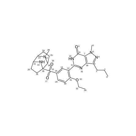 CCCc1nn(C)c2c(=O)[nH]c(-c3cc(S(=O)(=O)C45CCC(N4)C4CCC5N4C)ccc3OCC)nc12